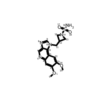 COc1cc2ncc3ncn(CC4CN(S(N)(=O)=O)C4)c3c2cc1OC